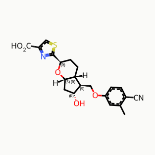 Cc1cc(OC[C@@H]2[C@H]3CC[C@H](c4nc(C(=O)O)cs4)O[C@H]3C[C@H]2O)ccc1C#N